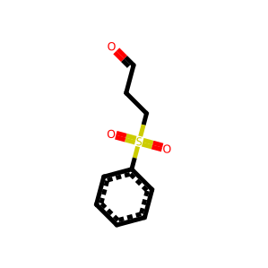 O=CCCS(=O)(=O)c1ccccc1